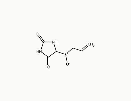 C=CC[S+]([O-])C1NC(=O)NC1=O